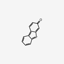 O=C1C=CC2=c3ccccc3=PC2=C1